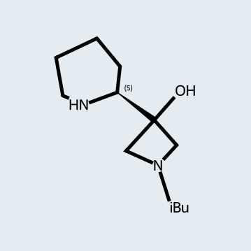 CCC(C)N1CC(O)([C@@H]2CCCCN2)C1